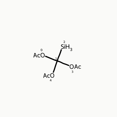 CC(=O)OC([SiH3])(OC(C)=O)OC(C)=O